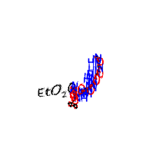 CCOC(=O)c1nc(NC(=O)[C@@H](CCNC(=O)c2cc(NC(=O)c3nc(NC(=O)CCNC(=O)c4cc(NC(=O)c5nccn5C)cn4C)cn3C)cn2C)NC(=O)OCC2c3ccccc3-c3ccccc32)cn1C